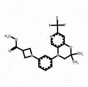 COC(=O)C1CN(c2cccc(N3CC(C)(C)Oc4cc(C(F)(F)F)ncc43)c2)C1